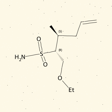 C=CC[C@H](C)[C@H](COCC)S(N)(=O)=O